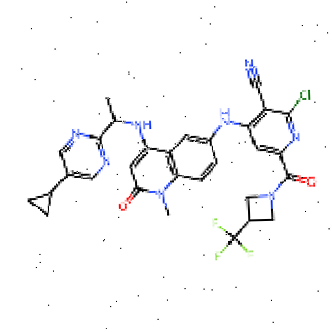 CC(Nc1cc(=O)n(C)c2ccc(Nc3cc(C(=O)N4CC(C(F)(F)F)C4)nc(Cl)c3C#N)cc12)c1ncc(C2CC2)cn1